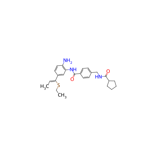 C/C=C(\SCC)c1ccc(N)c(NC(=O)c2ccc(CNC(=O)C3CCCC3)cc2)c1